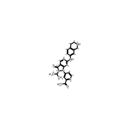 CC(=O)c1cc(-n2c3nc(Nc4ccc5c(c4)CNCC5)ncc3c(=O)n2C(C)C)ccn1